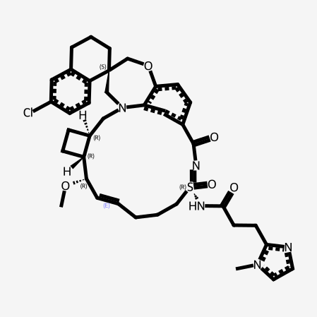 CO[C@H]1/C=C/CCC[S@@](=O)(NC(=O)CCc2nccn2C)=NC(=O)c2ccc3c(c2)N(C[C@@H]2CC[C@H]21)C[C@@]1(CCCc2cc(Cl)ccc21)CO3